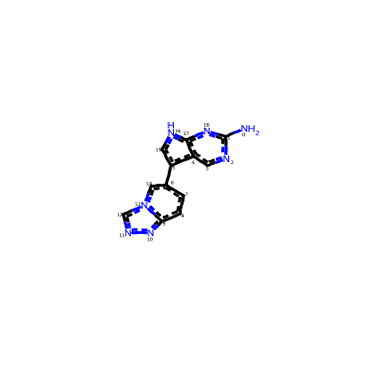 Nc1ncc2c(-c3ccc4nncn4c3)c[nH]c2n1